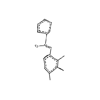 Cc1ccc(C=[N+]([O-])c2ccccc2)c(C)c1C